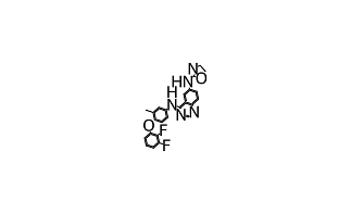 Cc1cc(Nc2ncnc3ccc(NC4=NCCO4)cc23)ccc1Oc1cccc(F)c1F